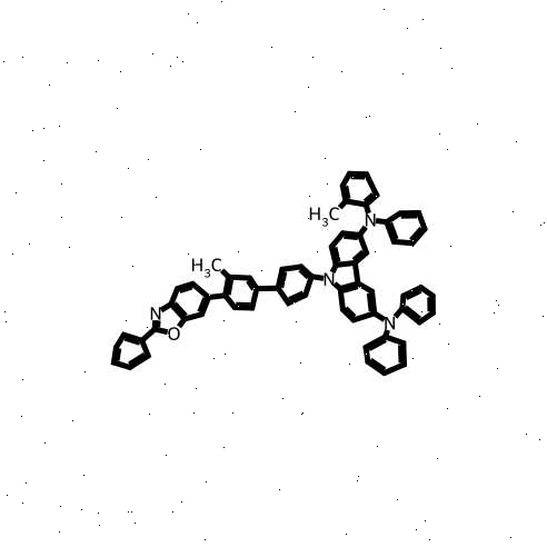 Cc1cc(-c2ccc(-n3c4ccc(N(c5ccccc5)c5ccccc5)cc4c4cc(N(c5ccccc5)c5ccccc5C)ccc43)cc2)ccc1-c1ccc2nc(-c3ccccc3)oc2c1